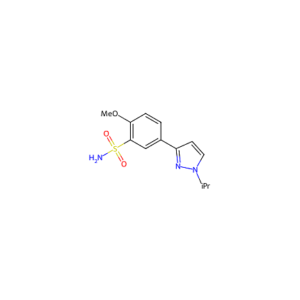 COc1ccc(-c2ccn(C(C)C)n2)cc1S(N)(=O)=O